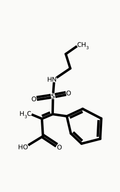 CCCNS(=O)(=O)/C(=C(\C)C(=O)O)c1ccccc1